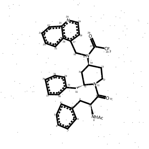 CC(=O)N[C@@H](Cc1ccccc1)C(=O)N1CC[C@H](N(Cc2ccnc3ccccc23)C(=O)C(F)(F)F)C[C@H]1Cc1ccccc1